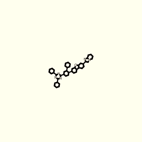 c1ccc(-c2nc(-c3ccccc3)nc(-c3ccc(-c4ccc5c(c4)oc4cc(-c6cn7ccccc7n6)ccc45)c(-c4ccccc4)c3)n2)cc1